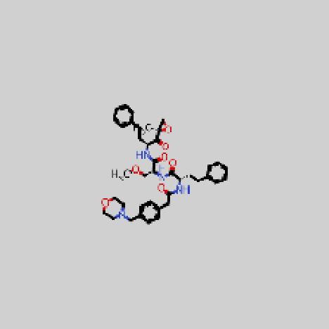 COC[C@H](NC(=O)[C@H](CCc1ccccc1)NC(=O)Cc1ccc(CN2CCOCC2)cc1)C(=O)N[C@@H](CCc1ccccc1)C(=O)[C@@]1(C)CO1